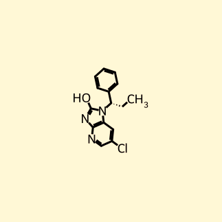 CC[C@@H](c1ccccc1)n1c(O)nc2ncc(Cl)cc21